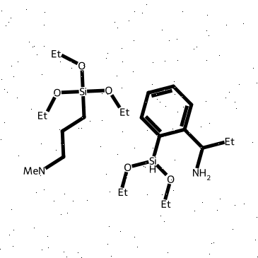 CCO[SiH](OCC)c1ccccc1C(N)CC.CCO[Si](CCCNC)(OCC)OCC